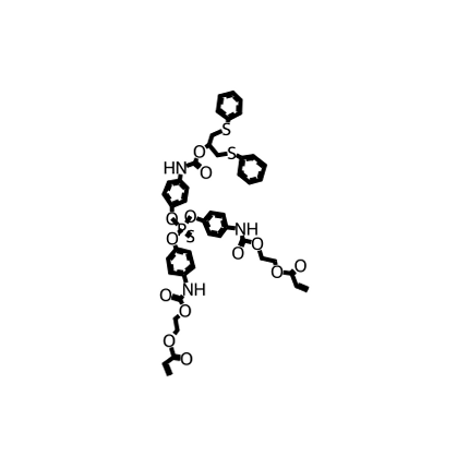 C=CC(=O)OCCOC(=O)Nc1ccc(OP(=S)(Oc2ccc(NC(=O)OCCOC(=O)C=C)cc2)Oc2ccc(NC(=O)OC(CSc3ccccc3)CSc3ccccc3)cc2)cc1